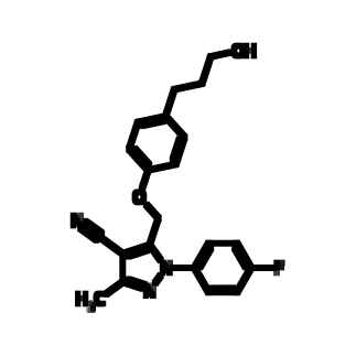 Cc1nn(-c2ccc(F)cc2)c(COc2ccc(CCCO)cc2)c1C#N